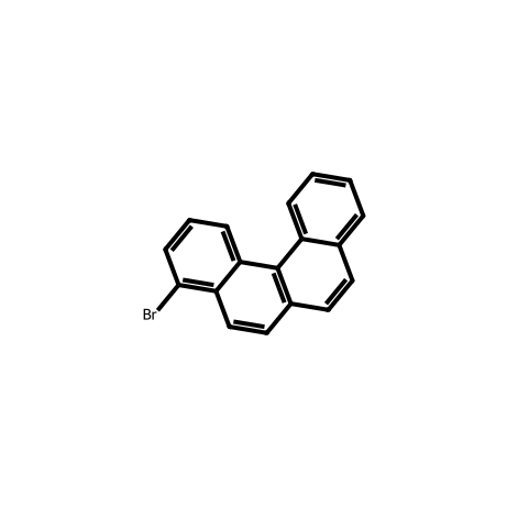 Brc1cccc2c1ccc1ccc3ccccc3c12